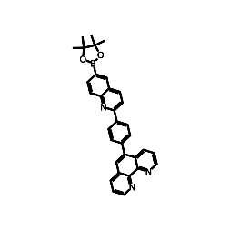 CC1(C)OB(c2ccc3nc(-c4ccc(-c5cc6cccnc6c6ncccc56)cc4)ccc3c2)OC1(C)C